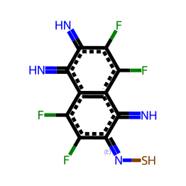 N=c1c(F)c(F)c2c(=N)/c(=N\S)c(F)c(F)c=2c1=N